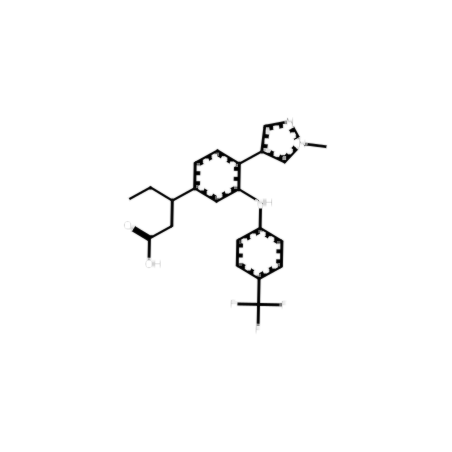 CCC(CC(=O)O)c1ccc(-c2cnn(C)c2)c(Nc2ccc(C(F)(F)F)cc2)c1